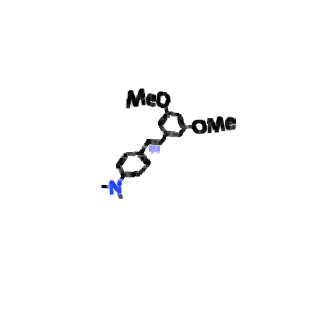 COc1cc(/C=C/c2ccc(N(C)C)cc2)cc(OC)c1